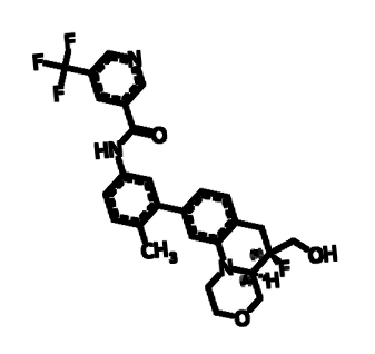 Cc1ccc(NC(=O)c2cncc(C(F)(F)F)c2)cc1-c1ccc2c(c1)N1CCOC[C@@H]1[C@@](F)(CO)C2